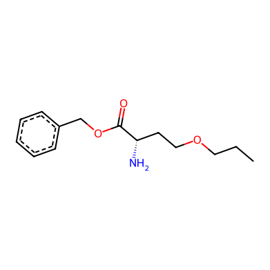 CCCOCC[C@H](N)C(=O)OCc1ccccc1